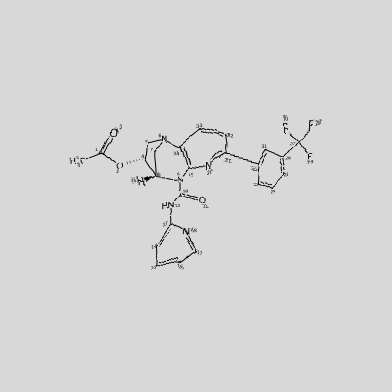 CC(=O)O[C@@H]1CN2C[C@@H]1N(C(=O)Nc1ccccn1)c1nc(-c3cccc(C(F)(F)F)c3)ccc12